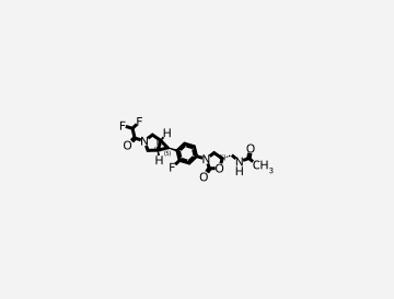 CC(=O)NC[C@H]1CN(c2ccc([C@H]3[C@@H]4CN(C(=O)C(F)F)C[C@@H]43)c(F)c2)C(=O)O1